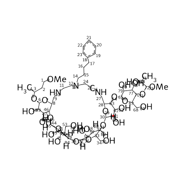 COCC[C@H](C)O[C@H]1OC2CNCCN(CCCCc3ccccc3)CCNCC3O[C@H](O[C@@H]4C(CO)O[C@H](O[C@H]5C(O)C(O)[C@@H](O[C@H]2C(O)C1O)O[C@@H]5CO)C(O)[C@H]4O)C(O)C(O)[C@@H]3O[C@H]1OC(CO)[C@@H](O[C@@H](OC)C(C)O)C(O)C1O